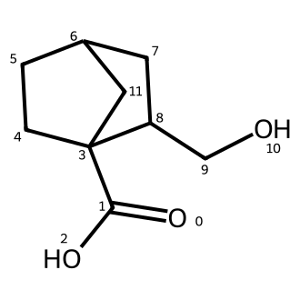 O=C(O)C12CCC(CC1CO)C2